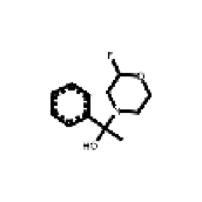 CC(O)(c1ccccc1)N1CCOC(F)C1